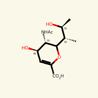 CC(=O)N[C@@H]1C([C@@H](C)[C@H](C)O)OC(C(=O)O)=C[C@H]1O